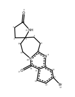 O=C1CCC2(CCc3nc4cc(Br)ccc4c(=O)n3CC2)N1